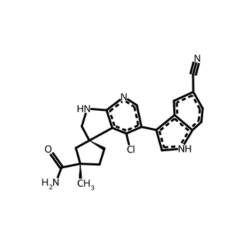 C[C@]1(C(N)=O)CC[C@]2(CNc3ncc(-c4c[nH]c5ccc(C#N)cc45)c(Cl)c32)C1